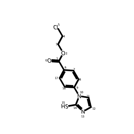 O=C(OCCCl)c1ccc(-n2ccnc2S)cc1